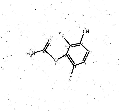 N#Cc1ccc(F)c(OC(N)=O)c1F